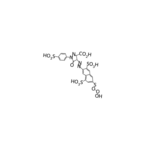 O=C(O)C1=NN(c2ccc(S(=O)(=O)O)cc2)C(=O)C1N=Nc1cc2c(S(=O)(=O)O)cc(SOOO)cc2cc1S(=O)(=O)O